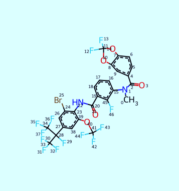 CN(C(=O)c1ccc2c(c1)OC(F)(F)O2)c1cccc(C(=O)Nc2c(Br)cc(C(F)(C(F)(F)F)C(F)(F)F)cc2OC(F)(F)F)c1F